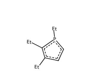 CCc1ccp(CC)c1CC